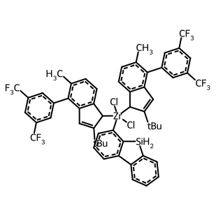 Cc1ccc2c(c1-c1cc(C(F)(F)F)cc(C(F)(F)F)c1)C=C(C(C)(C)C)[CH]2[Zr]([Cl])([Cl])([c]1cccc2c1[SiH2]c1ccccc1-2)[CH]1C(C(C)(C)C)=Cc2c1ccc(C)c2-c1cc(C(F)(F)F)cc(C(F)(F)F)c1